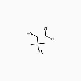 CC(C)(N)CO.ClCCl